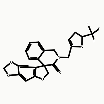 FC(F)(F)C1CC=C(CN2Cc3ccccc3C3(COc4cc5c(cc43)OCO5)C2=S)S1